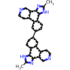 Cc1nc2c3cnccc3c3cc(-c4ccc5c(c4)c4ccncc4c4nc(C)[nH]c54)ccc3c2[nH]1